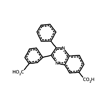 O=C(O)c1cccc(-c2nc3cc(C(=O)O)ccc3nc2-c2ccccc2)c1